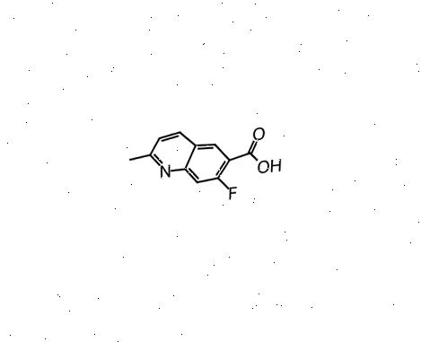 Cc1ccc2cc(C(=O)O)c(F)cc2n1